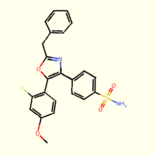 COc1ccc(-c2oc(Cc3ccccc3)nc2-c2ccc(S(N)(=O)=O)cc2)c(F)c1